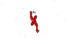 C=CC(=O)OCCCCCCOc1ccc(C(=O)Oc2cc(/C=N/N3CCN(C)CC3)c(OC(=O)C3=CCC(OCCCCCCOC(C)=O)C=C3)cc2/C=N/N2CCN(C)CC2)cc1